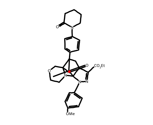 CCOC(=O)C1=NN(c2ccc(OC)cc2)C23C(=O)N(c4ccc(N5CCCCC5=O)cc4)C4(CCC12)COCCN43